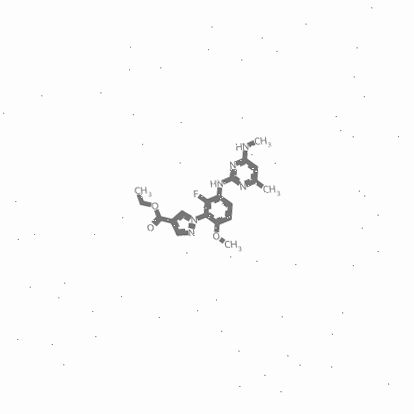 CCOC(=O)c1cnn(-c2c(OC)ccc(Nc3nc(C)cc(NC)n3)c2F)c1